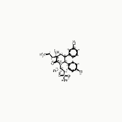 C=CC[C@@]1(N)CC(c2cccc(Cl)c2)C(c2ccc(Cl)cc2)N([C@H](CS(=O)(=O)C(C)C)C(C)C)C1=O